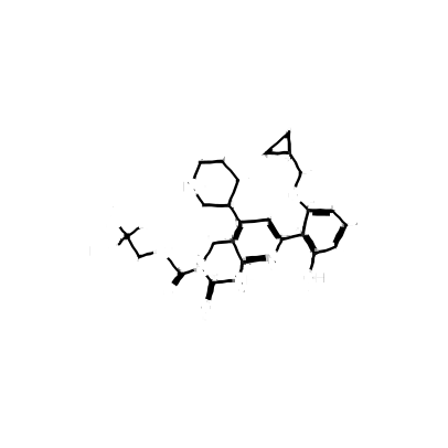 CC(C)(C)COC(=O)N1Cc2c(C3CCCNC3)cc(-c3c(O)cccc3OCC3CC3)nc2NC1=O